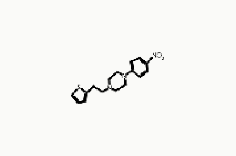 O=[N+]([O-])c1ccc(N2CCN(CCc3cccs3)CC2)cc1